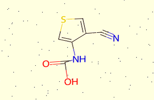 N#Cc1cscc1NC(=O)O